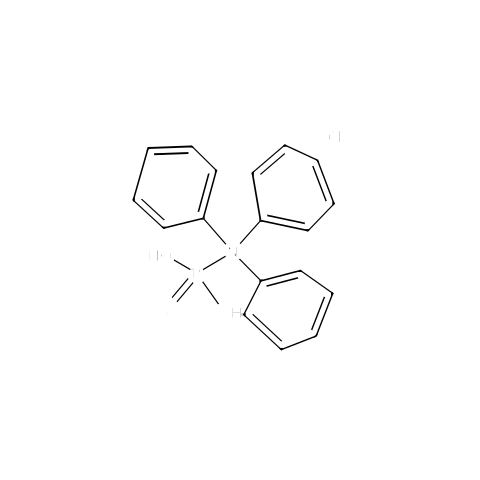 O=P(O)(O)[N+](c1ccccc1)(c1ccccc1)c1ccccc1.[Cl-]